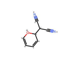 N#CC(C#N)C1C=CC=CO1